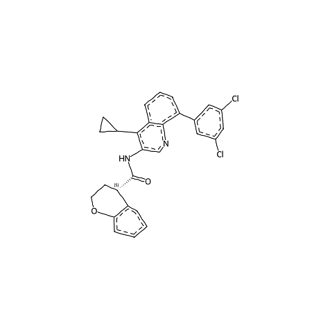 O=C(Nc1cnc2c(-c3cc(Cl)cc(Cl)c3)cccc2c1C1CC1)[C@H]1CCOc2ccccc21